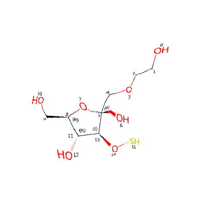 OCCOC[C@@]1(O)O[C@H](CO)[C@@H](O)[C@@H]1OS